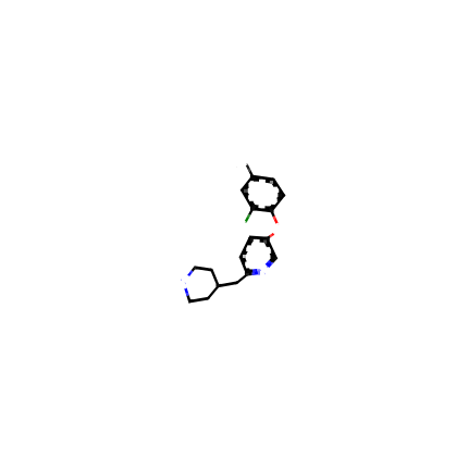 CCOC(=O)c1ccc(Oc2ccc(CC3CCNCC3)nc2)c(Br)c1